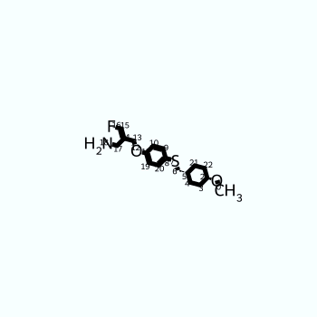 CO[C@H]1CC[C@H](CSc2ccc(OC/C(=C/F)CN)cc2)CC1